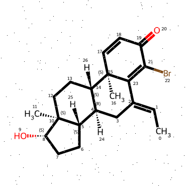 CC=C1C[C@H]2[C@@H]3CC[C@H](O)[C@@]3(C)CC[C@@H]2[C@@]2(C)C=CC(=O)C(Br)=C12